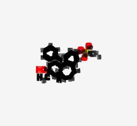 C[C@@]1(O)CC[C@@]2(Cc3ccccc3)c3ccc(OS(=O)(=O)C(F)(F)F)cc3CCC[C@@H]2C1